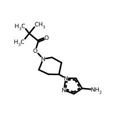 CC(C)(C)C(=O)ON1CCC(n2cc(N)cn2)CC1